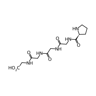 O=C(O)CNC(=O)CNC(=O)CNC(=O)CNC(=O)[C@@H]1CCCN1